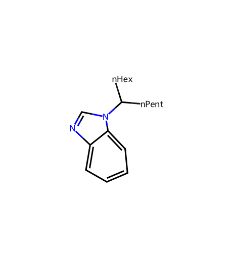 CCCCCCC(CCCCC)n1cnc2ccccc21